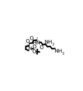 C[C@H](NCC(=O)[C@@H](N)CCCCN)C(=O)CC(=O)[C@@H]1CCCN1C(=O)OC(C)(C)C